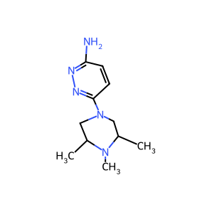 CC1CN(c2ccc(N)nn2)CC(C)N1C